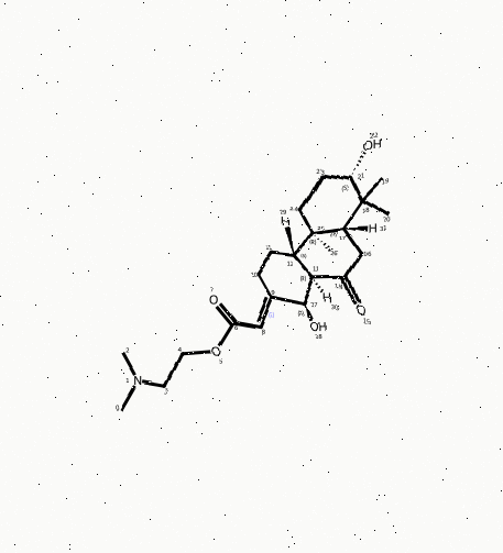 CN(C)CCOC(=O)/C=C1\CC[C@H]2[C@@H](C(=O)C[C@H]3C(C)(C)[C@@H](O)CC[C@]23C)[C@H]1O